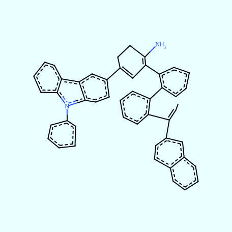 C/C=C(/c1ccc2ccccc2c1)c1ccccc1-c1ccccc1C1=C(N)CCC(c2ccc3c(c2)c2ccccc2n3-c2ccccc2)=C1